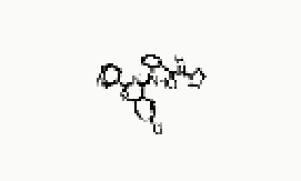 O=C(NC1CCCC1)c1ccccc1Nc1nc(-c2cccnc2)nc2c1C=CC(Cl)C=C2